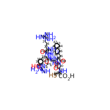 N=C(N)NCCC[C@H](NC(=O)[C@H](Cc1ccc(O)cc1)NC(=O)[C@@H](N)CCCNC(=N)N)C(=O)N[C@@H](Cc1ccc2ccccc2c1)C(=O)NCC(=O)N[C@@H](CS)C(=O)O